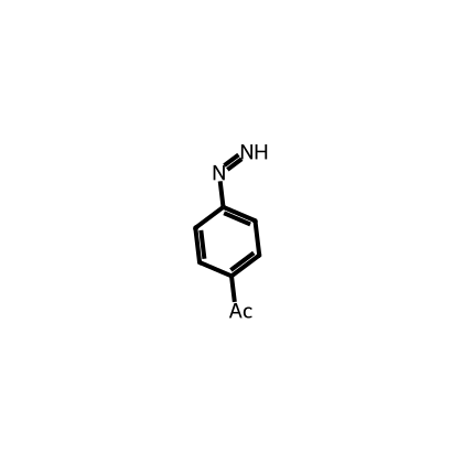 [CH2]C(=O)c1ccc(N=N)cc1